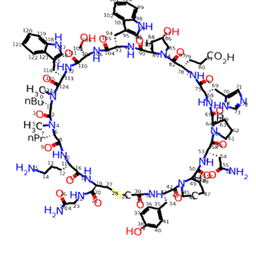 CCCC[C@H]1C(=O)N(C)[C@@H](CCC)C(=O)N[C@@H](CCCN)C(=O)N[C@H](C(=O)NCC(N)=O)CSCC(=O)N[C@@H](Cc2ccc(O)cc2)C(=O)N2CCCC[C@H]2C(=O)N[C@@H](CC(N)=O)C(=O)N2CCC[C@H]2C(=O)N[C@@H](Cc2cnc[nH]2)C(=O)N[C@@H](CCC(=O)O)C(=O)N2C[C@H](O)C[C@H]2C(=O)N[C@@H](Cc2c[nH]c3ccccc23)C(=O)N[C@@H](CO)C(=O)N[C@@H](Cc2c[nH]c3ccccc23)C(=O)N1C